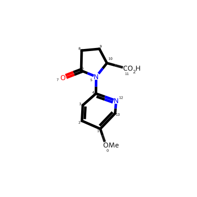 COc1ccc(N2C(=O)CCC2C(=O)O)nc1